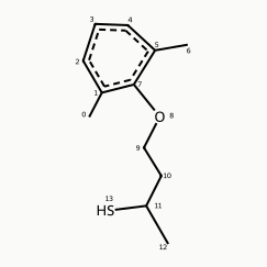 Cc1cccc(C)c1OCCC(C)S